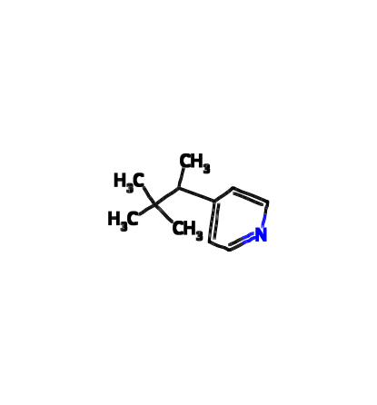 CC(c1ccncc1)C(C)(C)C